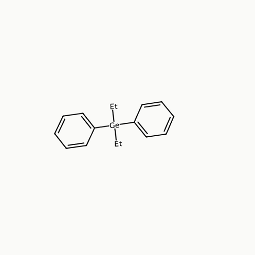 C[CH2][Ge]([CH2]C)([c]1ccccc1)[c]1ccccc1